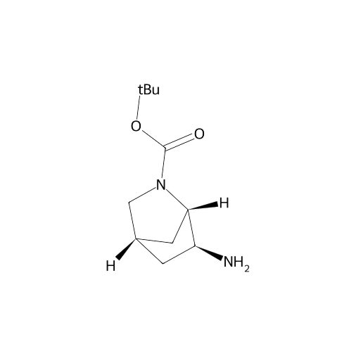 CC(C)(C)OC(=O)N1C[C@H]2C[C@H](N)[C@@H]1C2